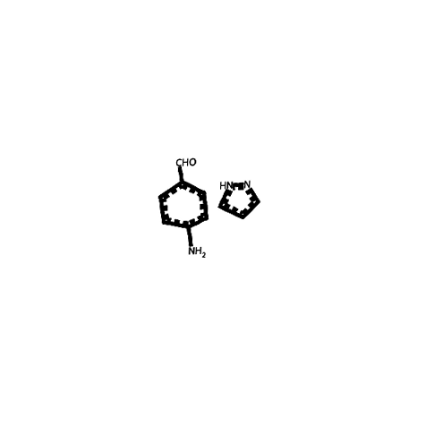 Nc1ccc(C=O)cc1.c1cn[nH]c1